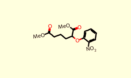 COC(=O)CCCC(Oc1ccccc1[N+](=O)[O-])C(=O)OC